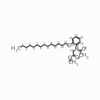 CCCCCCCCCCCCCCOc1ccccc1N(CC(=O)OC)C(C)=O